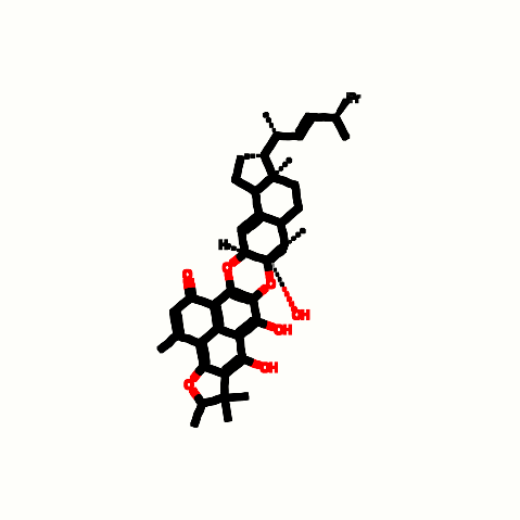 CC1=CC(=O)c2c3c(c(O)c4c(O)c5c(c1c24)OC(C)C5(C)C)O[C@]12C[C@@H](O)CC[C@]1(C)C1CC[C@@]4(C)C(CC[C@@H]4[C@H](C)/C=C/[C@H](C)C(C)C)C1=C[C@@H]2O3